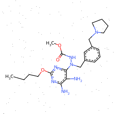 CCCCOc1nc(N)c(N)c(N(Cc2cccc(CN3CCCC3)c2)NC(=O)OC)n1